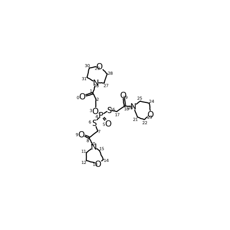 O=C(COP(=O)(SCC(=O)N1CCOCC1)SCC(=O)N1CCOCC1)N1CCOCC1